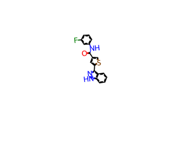 O=C(Nc1cccc(F)c1)c1csc(-c2n[nH]c3ccccc23)c1